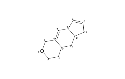 C1=CC2C=C3COCCC3CC2C1